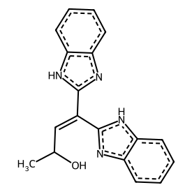 CC(O)C=C(c1nc2ccccc2[nH]1)c1nc2ccccc2[nH]1